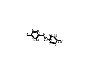 [CH2]c1ccc(OCc2ccc(C)cc2)cc1